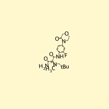 CN(CC(C)(C)C)[C@H](C(N)=O)C(=O)Nc1ccc(N2CCOCC2=O)cc1F